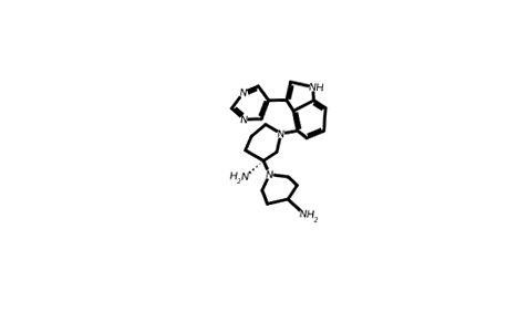 NC1CCN([C@@]2(N)CCCN(c3cccc4[nH]cc(-c5cncnc5)c34)C2)CC1